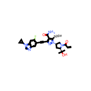 C=CC(=O)N1C[C@@H](n2nc(C#Cc3cc4ncn(C5CC5)c4cc3F)c(C(N)=O)c2NC)C[C@@H]1C(C)(C)O